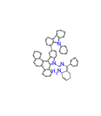 NC1C=CCC/C1=C(/N=C/n1c2ccc(-c3cccc4c5ccccc5n(-c5ccccc5)c34)cc2c2c3c4ccccc4ccc3c3ccccc3c21)c1ccccc1